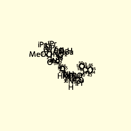 COc1cc2c(cc1O[Si](C(C)C)(C(C)C)C(C)C)N(C(=O)O)[C@@H](O[Si](C)(C)C(C)(C)C)[C@@H]1CC(c3ccc(NNC(C)C(=O)NC(C(=O)C(=O)OCC4c5ccccc5-c5ccccc54)C(C)C)cc3)=CN1C2=O